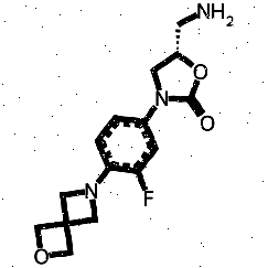 NC[C@H]1CN(c2ccc(N3CC4(COC4)C3)c(F)c2)C(=O)O1